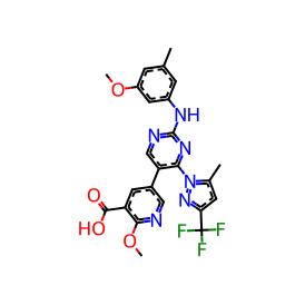 COc1cc(C)cc(Nc2ncc(-c3cnc(OC)c(C(=O)O)c3)c(-n3nc(C(F)(F)F)cc3C)n2)c1